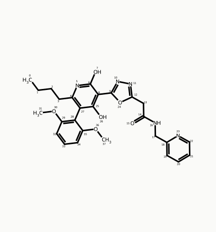 CCCCc1nc(O)c(-c2nnc(CC(=O)NCc3ccccn3)o2)c(O)c1-c1c(OC)cccc1OC